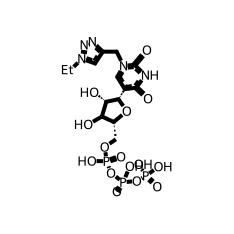 CCn1cc(Cn2cc([C@@H]3O[C@H](COP(=O)(O)OP(=O)(O)OP(=O)(O)O)C(O)[C@@H]3O)c(=O)[nH]c2=O)nn1